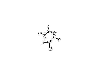 Cc1c(C#N)c(Cl)nc(Cl)c1C#N